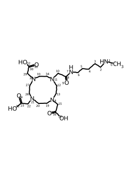 CNCCCCCNC(=O)CN1CCN(CC(=O)O)CCN(CC(=O)O)CCN(CC(=O)O)CC1